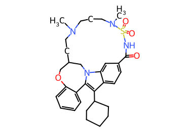 CN1CCCN(C)S(=O)(=O)NC(=O)c2ccc3c(C4CCCCC4)c4n(c3c2)CC(CC1)COc1ccccc1-4